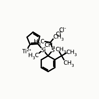 CC(C)SC1([Si](C)(C)C2=[C]([Ti+2])CC=C2)CC=CC=C1C(C)(C)C.[Cl-].[Cl-]